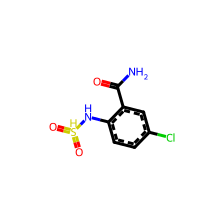 NC(=O)c1cc(Cl)ccc1N[SH](=O)=O